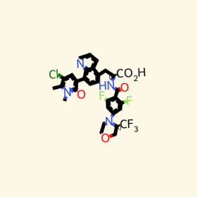 Cc1c(Cl)cc(-c2ccc(C[C@H](NC(=O)c3c(F)cc(N4CCOC[C@@H]4C(F)(F)F)cc3F)C(=O)O)c3cccnc23)c(=O)n1C